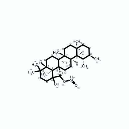 C[C@@H]1[C@H]2[C@H]3CC[C@@H]4[C@]5(C)[C@@H](CC[C@@]4(C)[C@]3(C)CC[C@@]2(C)CC[C@H]1C)C(C)(C)CCC5(O)C(=O)O[SiH]=O